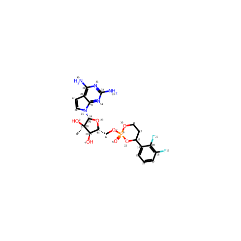 C[C@@]1(O)[C@H](O)[C@@H](COP2(=O)OCCC(c3cccc(F)c3F)O2)O[C@H]1n1ccc2c(N)nc(N)nc21